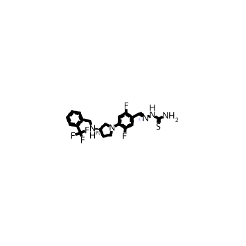 NC(=S)N/N=C/c1cc(F)c(N2CC[C@@H](NCc3ccccc3C(F)(F)F)C2)cc1F